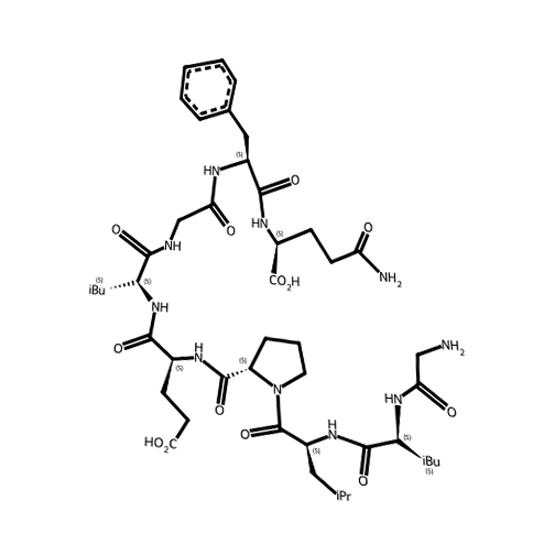 CC[C@H](C)[C@H](NC(=O)CN)C(=O)N[C@@H](CC(C)C)C(=O)N1CCC[C@H]1C(=O)N[C@@H](CCC(=O)O)C(=O)N[C@H](C(=O)NCC(=O)N[C@@H](Cc1ccccc1)C(=O)N[C@@H](CCC(N)=O)C(=O)O)[C@@H](C)CC